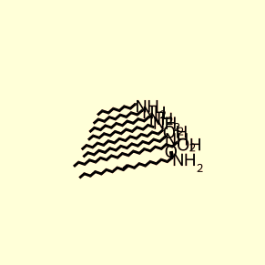 CCCCCCCCC=CCCCCCCCC(N)=O.CCCCCCCCCCCCCCCCCCCCO.CCCCCCCCCCCCCCCCN.CCCCCCCCCCCCCCCCO.CCCCCCCCCCCCCN.CCCCCCCCCCCCN.CCCCCCCCCCN.CCCCCCCCN